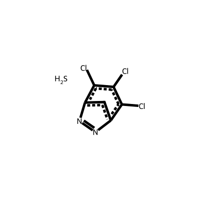 Clc1c2cc(c(Cl)c1Cl)N=N2.S